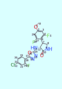 COc1cc(F)c(C2CNC(=O)[C@@H]2Nc2nnc(-c3ccc(Cl)cc3F)o2)c(F)c1